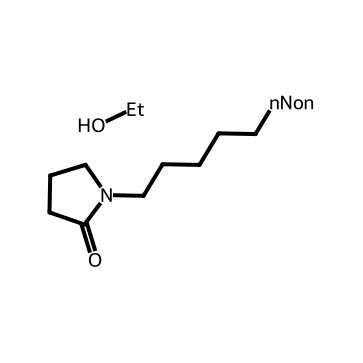 CCCCCCCCCCCCCCN1CCCC1=O.CCO